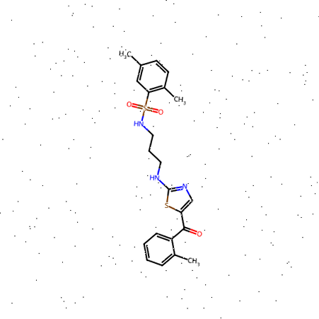 Cc1ccc(C)c(S(=O)(=O)NCCCNc2ncc(C(=O)c3ccccc3C)s2)c1